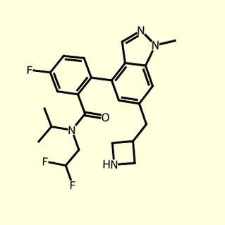 CC(C)N(CC(F)F)C(=O)c1cc(F)ccc1-c1cc(CC2CNC2)cc2c1cnn2C